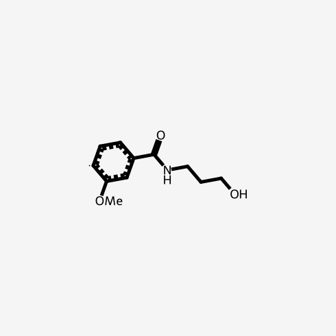 COc1[c]ccc(C(=O)NCCCO)c1